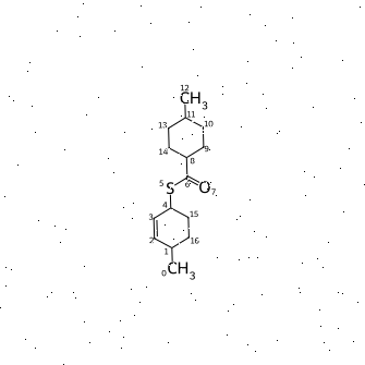 CC1C=CC(SC(=O)C2CCC(C)CC2)CC1